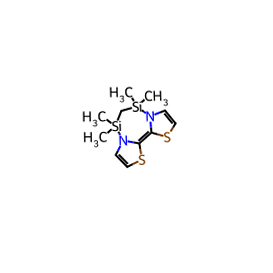 C[Si]1(C)C[Si](C)(C)N2C=CSC2=C2SC=CN21